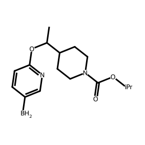 Bc1ccc(OC(C)C2CCN(C(=O)OC(C)C)CC2)nc1